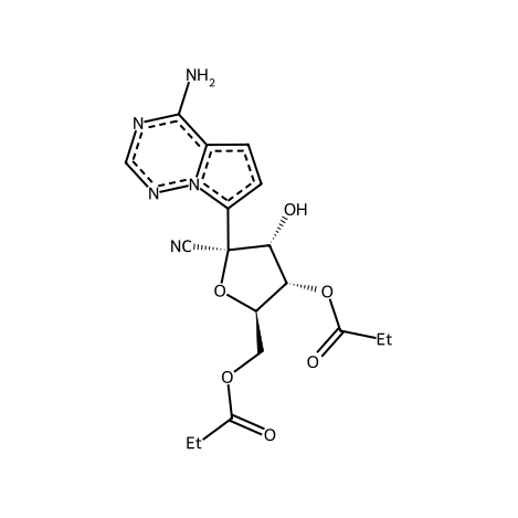 CCC(=O)OC[C@H]1O[C@@](C#N)(c2ccc3c(N)ncnn23)[C@H](O)[C@@H]1OC(=O)CC